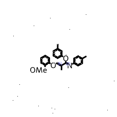 COc1ccccc1O/C=C(C)/C(=N/c1ccc(C)cc1)Oc1cccc(C)c1